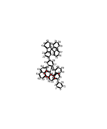 c1ccc(-c2cccc(-c3ccccc3N(c3ccc(-c4ccc5c(c4)C(c4ccccc4)(c4ccccc4)c4ccccc4-5)cc3)c3ccccc3-c3cccc(-c4cccc5ccccc45)c3)c2)cc1